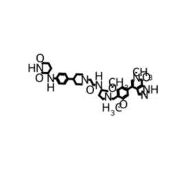 COc1cc(-c2cn(C)c(=O)c3[nH]ncc23)cc(OC)c1CN1CCC(NC(=O)CN2CCC(c3ccc(NC4CCC(=O)NC4=O)cc3)CC2)C1